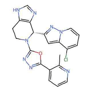 Cc1ncccc1-c1nnc(N2CCc3[nH]cnc3[C@@H]2c2cc3c(Cl)cccn3n2)o1